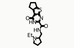 CCN1CCCC1CNC(=O)c1nc2sc3c(c2c(=O)[nH]1)CCC3